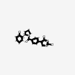 O=C(c1ccc(-c2cnc(Cl)nc2Cl)cc1)N1CCC[C@@H]1c1ccccc1Cl